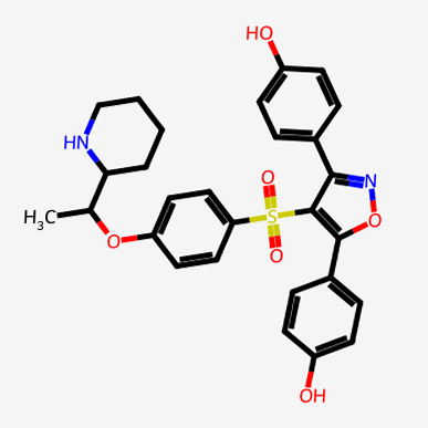 CC(Oc1ccc(S(=O)(=O)c2c(-c3ccc(O)cc3)noc2-c2ccc(O)cc2)cc1)C1CCCCN1